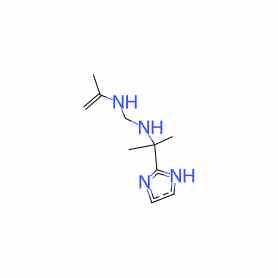 C=C(C)NCNC(C)(C)c1ncc[nH]1